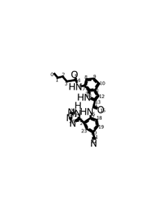 CCCCC(=O)Nc1cccc2cc(C(=O)Nc3ccc(C#N)cc3-c3nnn[nH]3)[nH]c12